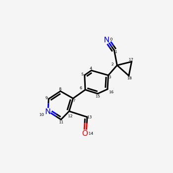 N#CC1(c2ccc(-c3ccncc3C=O)cc2)CC1